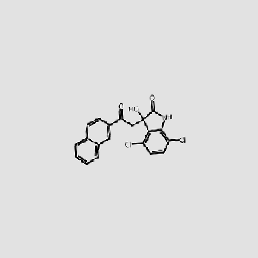 O=C(CC1(O)C(=O)Nc2c(Cl)ccc(Cl)c21)c1ccc2ccccc2c1